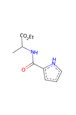 CCOC(=O)C(C)NC(=O)c1ccc[nH]1